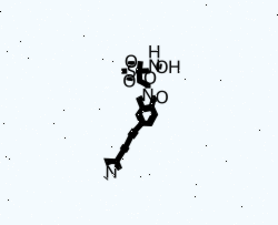 CN1CC(C#CC#Cc2ccc3c(c2)CN(CCC(C)(C(=O)NO)S(C)(=O)=O)C3=O)C1